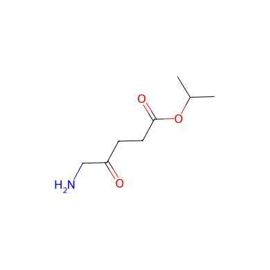 CC(C)OC(=O)CCC(=O)CN